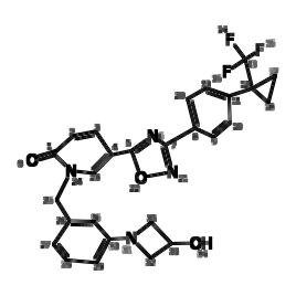 O=c1ccc(-c2nc(-c3ccc(C4(C(F)(F)F)CC4)cc3)no2)cn1Cc1cccc(N2CC(O)C2)c1